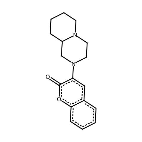 O=c1oc2ccccc2cc1N1CCN2CCCCC2C1